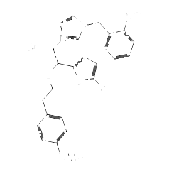 COc1ccc(CCOC(C[n+]2ccn(Cc3ccccc3[N+](=O)[O-])c2)c2ccc(Cl)s2)cc1.[Br-]